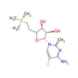 C=C1N=C(N)C(I)=CN1[C@@H]1OC(CCP(=C)(C)C)[C@@H](O)[C@H]1O